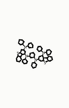 c1ccc(N(c2cccc(N(c3ccccc3)c3cc(N(c4ccccc4)c4ccccc4)cc4sc5ccccc5c34)c2)c2cc(N(c3ccccc3)c3ccccc3)c3c(c2)sc2ccccc23)cc1